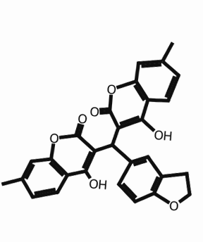 Cc1ccc2c(O)c(C(c3ccc4c(c3)CCO4)c3c(O)c4ccc(C)cc4oc3=O)c(=O)oc2c1